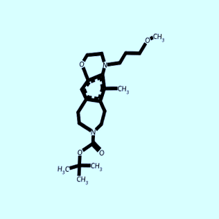 COCCCN1CCOc2cc3c(c(C)c21)CCN(C(=O)OC(C)(C)C)CC3